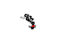 C[C@H]1CCCS(=O)(=O)N1c1ccc2cc(-c3nc4cc(C(=O)N5C[C@H]6CC[C@@H]5[C@@H]6N)ccc4n3C3CC3)n(CC3CC3)c2n1